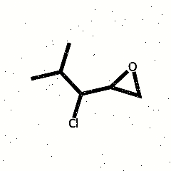 CC(C)C(Cl)C1CO1